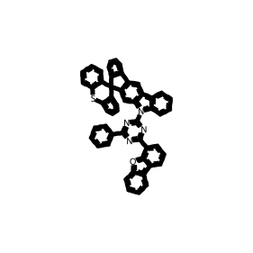 c1ccc(-c2nc(-c3cccc4c3oc3ccccc34)nc(-n3c4ccccc4c4cc5c(cc43)C3(c4ccccc4Sc4ccccc43)c3ccccc3-5)n2)cc1